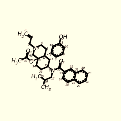 C=CCN1CC[C@@]2(c3cccc(O)c3)C[C@@H](N(CC(C)C)C(=O)c3ccc4ccccc4c3)CC[C@]2(OC(C)=O)C1